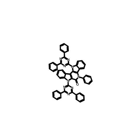 O=c1c2c(c3ccccc3n2-c2nc(-c3ccccc3)nc(-c3ccccc3)n2)c2c(c3ccccc3n2-c2nc(-c3ccccc3)nc(-c3ccccc3)n2)n1-c1ccccc1